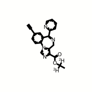 [2H]C([2H])(C)OC(=O)c1ncn2c1CN=C(c1ccccn1)c1cc(C#C)ccc1-2